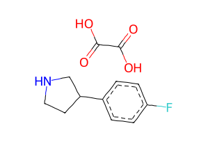 Fc1ccc(C2CCNC2)cc1.O=C(O)C(=O)O